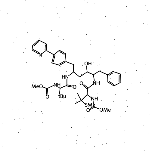 COC(=O)NC(C(=O)NC(Cc1ccc(-c2ccccn2)cc1)CC(O)C(Cc1ccccc1)NC(=O)C(NC(=O)OC)C(C)(C)SC)C(C)(C)C